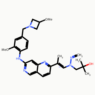 C=NN(/C=C(\C)c1ccc2cnc(Nc3ccc(CN4CC(OC)C4)cc3OC)cc2n1)CC(C)(C)O